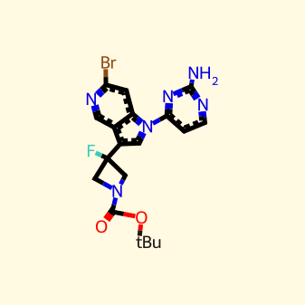 CC(C)(C)OC(=O)N1CC(F)(c2cn(-c3ccnc(N)n3)c3cc(Br)ncc23)C1